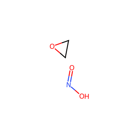 C1CO1.O=NO